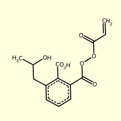 C=CC(=O)OOC(=O)c1cccc(CC(C)O)c1C(=O)O